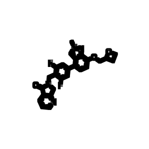 Cn1cc2c(-c3cc(F)c(CN4Cc5ncccc5C4=O)c(F)c3)ccc(OCC3CCO3)c2n1